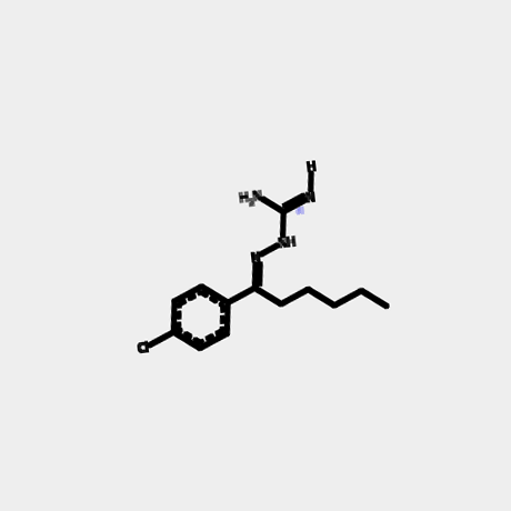 [H]/N=C(\N)NN=C(CCCCC)c1ccc(Cl)cc1